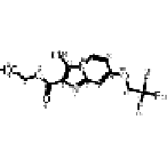 CCOC(=O)c1nc2cc(OCC(F)(F)F)ccn2c1Cl